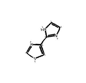 [c]1c[nH]c(-c2cscn2)n1